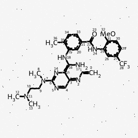 C=C/N=C1/C=NC(N(C)CCN(C)C)=N/C1=C(/N)Nc1cc(C(=O)Nc2cc(C(F)(F)F)ccc2OC)ccc1C